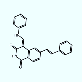 O=C1NC(=O)c2ccc(/C=C/c3ccccc3)cc2/C1=C/Nc1cc[c]cc1